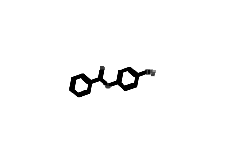 [CH2]c1ccc(OC(=O)c2ccccc2)cc1